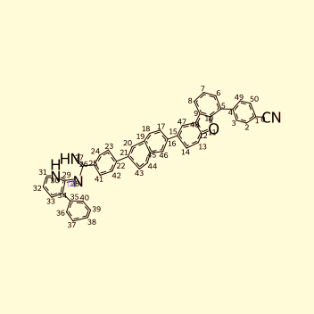 N#Cc1ccc(-c2cccc3c2oc2ccc(-c4ccc5cc(-c6ccc(C(=N)/N=c7\[nH]cccc7-c7ccccc7)cc6)ccc5c4)cc23)cc1